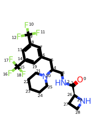 O=C(NCC(Cc1cc(C(F)(F)F)cc(C(F)(F)F)c1)N1CCCCC1)[C@@H]1CCN1